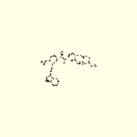 CCCN1CCN(Cc2ccc(NC(=O)c3ccc(C)c(C#Cc4cnc5ccccn45)c3)cc2C(F)(F)F)CC1